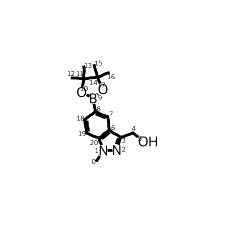 Cn1nc(CO)c2cc(B3OC(C)(C)C(C)(C)O3)ccc21